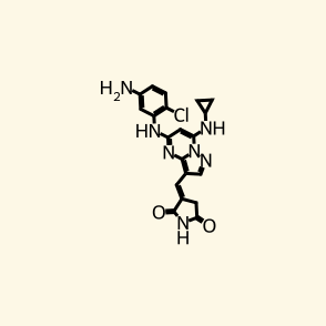 Nc1ccc(Cl)c(Nc2cc(NC3CC3)n3ncc(/C=C4\CC(=O)NC4=O)c3n2)c1